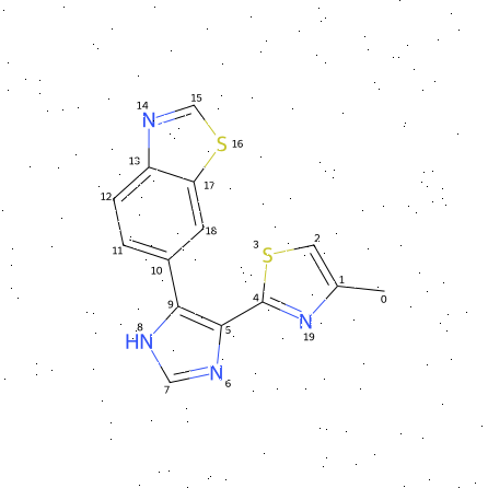 Cc1csc(-c2nc[nH]c2-c2ccc3ncsc3c2)n1